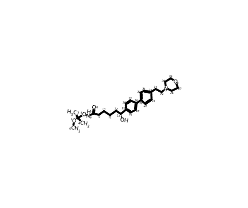 COC(C)(C)ONC(=O)CCCC[C@@H](O)c1ccc(-c2ccc(CCN3CCOCC3)cc2)cc1